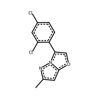 Cc1cc2occ(-c3ccc(Cl)cc3Cl)n2n1